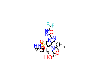 C[C@H]1CO[C@@H](CO)CN1c1cc(S(=O)(=O)NC2(C)CC2)cn2c(-c3nnc(C(F)F)o3)ncc12